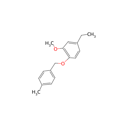 CCc1ccc(OCc2ccc(C)cc2)c(OC)c1